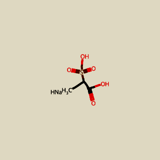 CC(C(=O)O)S(=O)(=O)O.[NaH]